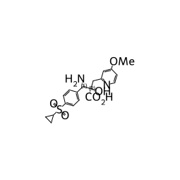 COc1ccnc(C[C@](O)(C(=O)O)[C@@H](N)c2ccc(S(=O)(=O)C3CC3)cc2)c1